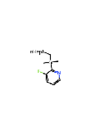 CCCCCCCC[Si](C)(C)c1ncccc1F